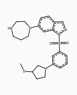 COC1CCN(c2cccc(S(=O)(=O)n3ncc4ccc(N5CCCNCC5)cc43)c2)C1